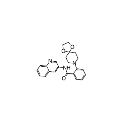 O=C(Nc1cnc2ccccc2c1)c1ccccc1N1CCC2(CC1)OCCO2